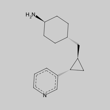 N[C@H]1CC[C@H](C[C@H]2C[C@@H]2c2cccnc2)CC1